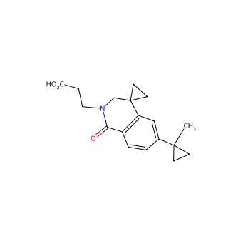 CC1(c2ccc3c(c2)C2(CC2)CN(CCC(=O)O)C3=O)CC1